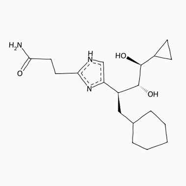 NC(=O)CCc1nc([C@H](CC2CCCCC2)[C@@H](O)[C@@H](O)C2CC2)c[nH]1